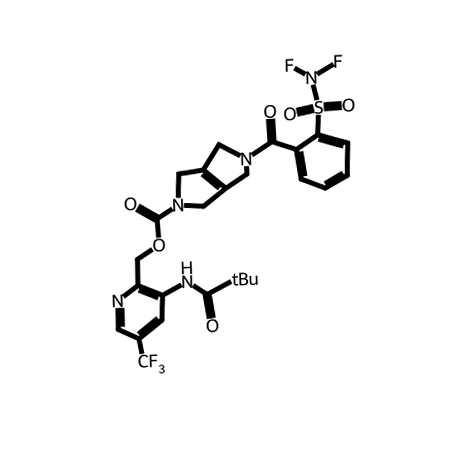 CC(C)(C)C(=O)Nc1cc(C(F)(F)F)cnc1COC(=O)N1CC2=C(C1)CN(C(=O)c1ccccc1S(=O)(=O)N(F)F)C2